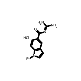 CC(C)n1ccc2cc(C(=O)N=C(N)N)ccc21.Cl